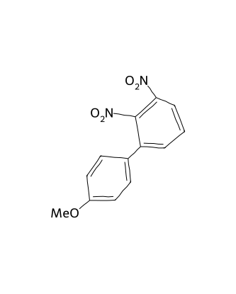 COc1ccc(-c2cccc([N+](=O)[O-])c2[N+](=O)[O-])cc1